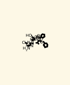 CC(C)[C@H](NP(=O)(Oc1ccccc1)O[C@@H]1C[C@H](n2cnc3c(N)nc(Cl)nc32)O[C@@H]1CO)C(=O)OCc1ccccc1